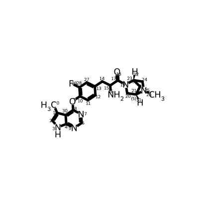 Cc1c[nH]c2ncnc(Oc3ccc(CC(N)C(=O)N4C[C@@H]5C[C@H]4CN5C)cc3F)c12